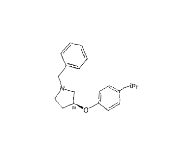 CC(C)c1ccc(O[C@H]2CCN(Cc3ccccc3)C2)cc1